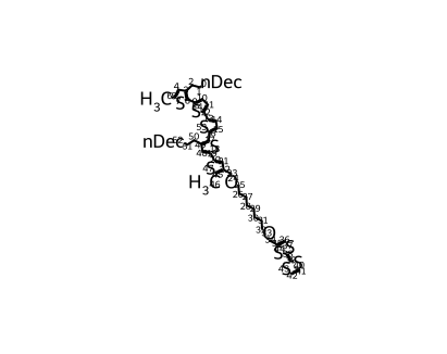 CCCCCCCCCCCCc1cc(C)sc1-c1ccc(-c2ccc(-c3sc(-c4cc(COCCCCCCCCOCC5=CSC(=C6SC=CS6)S5)c(C)s4)cc3CCCCCCCCCCCC)s2)s1